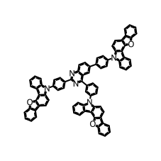 c1cc(-c2nc(-c3ccc(-n4c5ccccc5c5c6oc7ccccc7c6ccc54)cc3)nc3ccc(-c4ccc(-n5c6ccccc6c6c7oc8ccccc8c7ccc65)cc4)cc23)cc(-n2c3ccccc3c3c4oc5ccccc5c4ccc32)c1